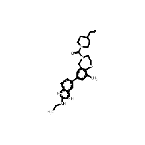 CCNc1nc2ccc(-c3cc(C)c4c(c3)CN(C(=O)N3CCC(CF)CC3)CCO4)cc2[nH]1